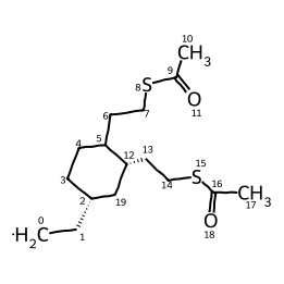 [CH2]C[C@@H]1CCC(CCSC(C)=O)[C@H](CCSC(C)=O)C1